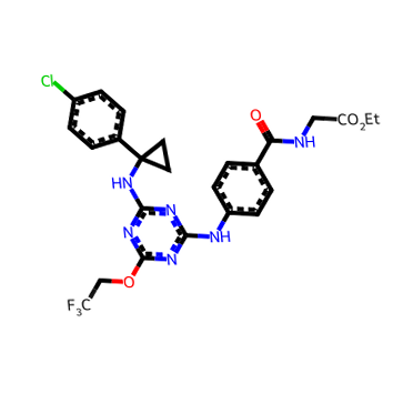 CCOC(=O)CNC(=O)c1ccc(Nc2nc(NC3(c4ccc(Cl)cc4)CC3)nc(OCC(F)(F)F)n2)cc1